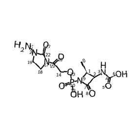 C[C@H]1C(NC(=O)O)C(=O)N1P(=O)(O)OCC(=O)N1CCN(N)C1=O